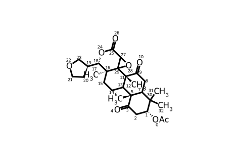 CC(=O)O[C@@H]1CC(=O)[C@@]2(C)C(CC(=O)[C@]3(C)C2CC[C@@]2(C)[C@H]([C@H]4CCOC4)OC(=O)C4OC423)C1(C)C